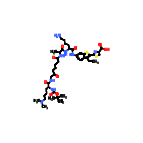 CCc1c(C2=NC(C(=O)O)CS2)sc2cc(NC(=O)C(CCCCN)NC(=O)[C@H](C)NC(=O)CCCCC(=O)CNC(=O)[C@H](CCCCN(C)C)NC(=O)OC(C)(C)C)ccc12